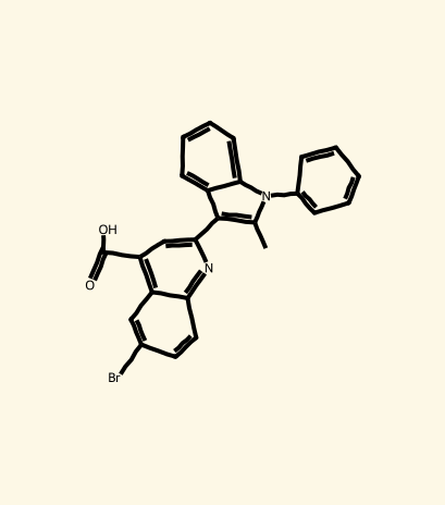 Cc1c(-c2cc(C(=O)O)c3cc(Br)ccc3n2)c2ccccc2n1-c1ccccc1